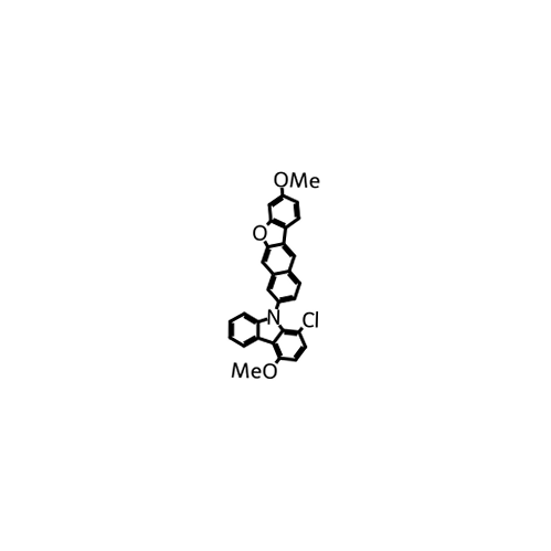 COc1ccc2c(c1)oc1cc3cc(-n4c5ccccc5c5c(OC)ccc(Cl)c54)ccc3cc12